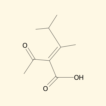 CC(=O)C(C(=O)O)=C(C)C(C)C